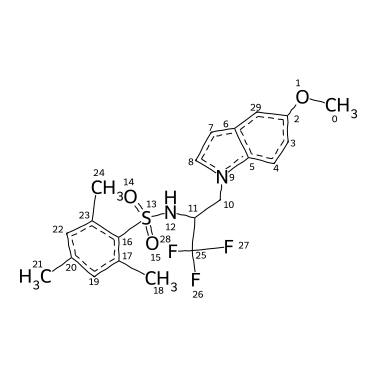 COc1ccc2c(ccn2CC(NS(=O)(=O)c2c(C)cc(C)cc2C)C(F)(F)F)c1